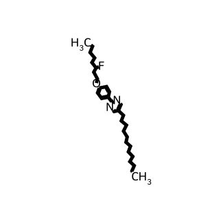 CCCCCCCCCCCCCc1cnc(-c2ccc(OCCC(F)CCCCC)cc2)nc1